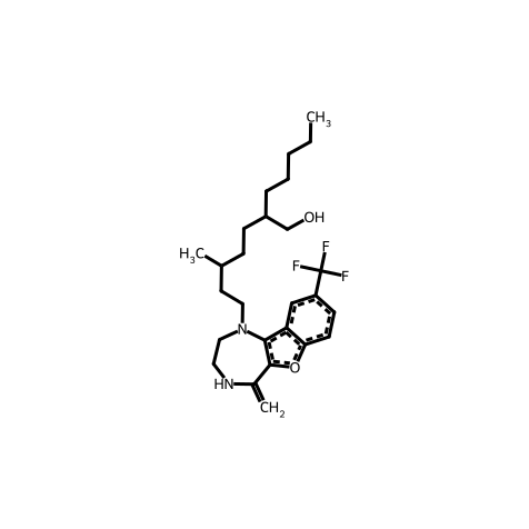 C=C1NCCN(CCC(C)CCC(CO)CCCCC)c2c1oc1ccc(C(F)(F)F)cc21